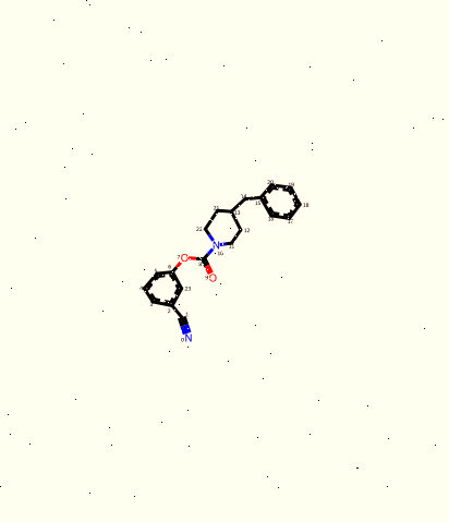 N#Cc1cccc(OC(=O)N2CCC(Cc3ccccc3)CC2)c1